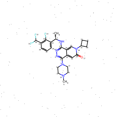 C[C@@H](Nc1nnc(N2CCN(C)CC2)c2cc(=O)n(C3CCC3)cc12)c1cccc(C(F)F)c1F